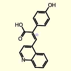 O=C(O)/C(=C\c1ccnc2ccccc12)c1ccc(O)cc1